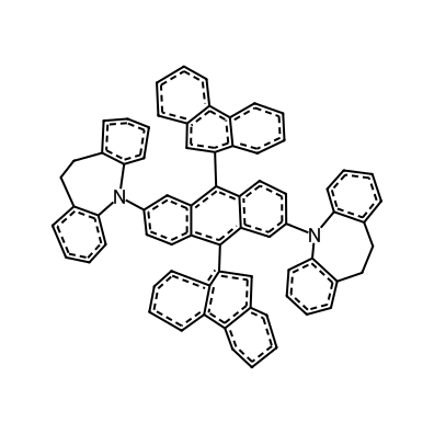 c1ccc2c(c1)CCc1ccccc1N2c1ccc2c(-c3cc4ccccc4c4ccccc34)c3cc(N4c5ccccc5CCc5ccccc54)ccc3c(-c3cc4ccccc4c4ccccc34)c2c1